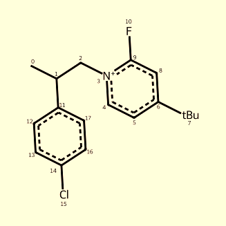 CC(C[n+]1ccc(C(C)(C)C)cc1F)c1ccc(Cl)cc1